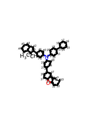 CC1(C)C(c2ccc(N(c3ccc(-c4ccccc4)cc3)c3ccc(-c4ccc5oc6ccccc6c5c4)cc3)cc2)=Cc2ccccc21